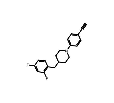 C#Cc1ccc(N2CCC(Cc3ccc(F)cc3F)CC2)cc1